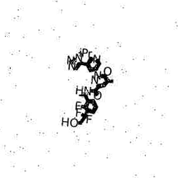 Cc1cc(C(=O)N[C@H](C)c2cccc(C(F)(F)CO)c2F)nn(-c2cncc(-c3cnnn3C(C)C)c2)c1=O